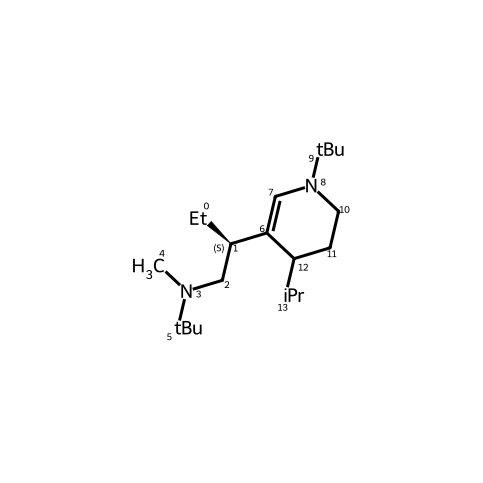 CC[C@H](CN(C)C(C)(C)C)C1=CN(C(C)(C)C)CCC1C(C)C